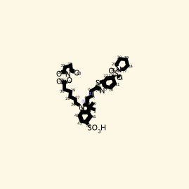 CC1(C)/C(=C\C=C\c2nc3ccc(S(=O)(=O)N4CCCCC4)cc3s2)N(CCCCCC(=O)ON2C(=O)CCC2=O)c2ccc(S(=O)(=O)O)cc21